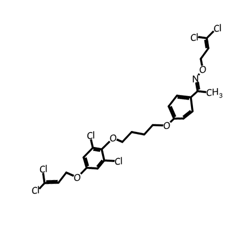 CC(=NOCC=C(Cl)Cl)c1ccc(OCCCCOc2c(Cl)cc(OCC=C(Cl)Cl)cc2Cl)cc1